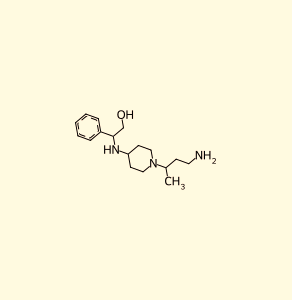 CC(CCN)N1CCC(NC(CO)c2ccccc2)CC1